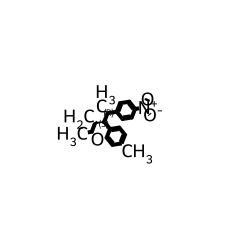 C=C(C(C)=O)[C@H](c1ccc(C)cc1)[C@@H](C)c1ccc([N+](=O)[O-])cc1